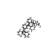 CC1(C)C2=C(C=CCC2)N(c2cccc(-n3c4c(c5ccccc53)CCC=C4)c2)c2ccccc21